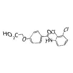 O=C(O)COc1ccc(C(=O)Nc2cccc(Cl)c2Cl)cc1